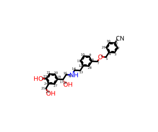 N#Cc1ccc(COCc2cccc(CCNC[C@H](O)c3ccc(O)c(CO)c3)c2)cc1